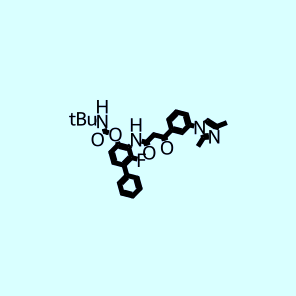 Cc1cn(-c2cccc(C(=O)CC(=O)Nc3c(OC(=O)NC(C)(C)C)ccc(-c4ccccc4)c3F)c2)c(C)n1